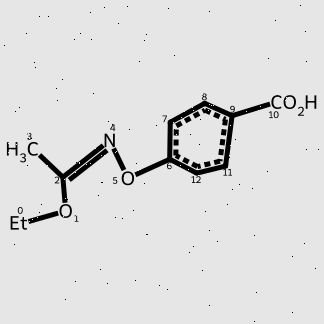 CCOC(C)=NOc1ccc(C(=O)O)cc1